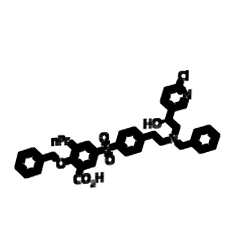 CCCc1cc(S(=O)(=O)c2ccc(CCN(Cc3ccccc3)C[C@H](O)c3ccc(Cl)nc3)cc2)cc(C(=O)O)c1OCc1ccccc1